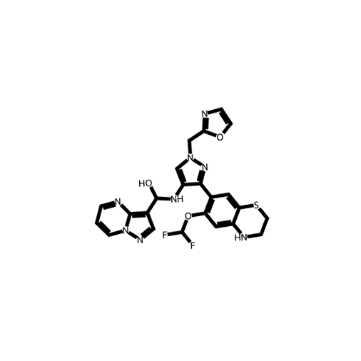 OC(Nc1cn(Cc2ncco2)nc1-c1cc2c(cc1OC(F)F)NCCS2)c1cnn2cccnc12